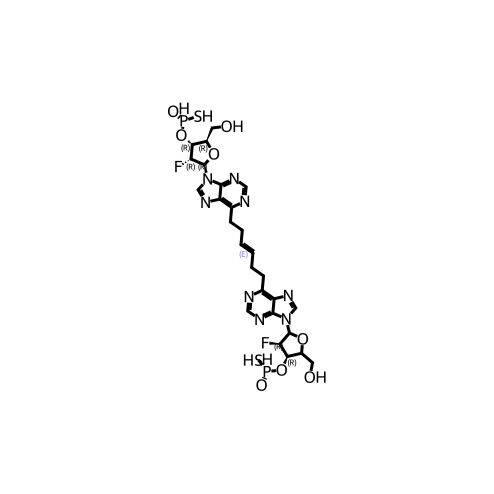 O=[PH](S)O[C@H]1[C@@H](F)[C@H](n2cnc3c(CC/C=C/CCc4ncnc5c4ncn5C4OC(CO)[C@@H](O[PH](=O)S)[C@H]4F)ncnc32)O[C@@H]1CO